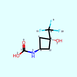 O=C(O)N[C@H]1C[C@@](O)(C(F)(F)F)C1